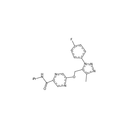 Cc1nnn(-c2ccc(F)cc2)c1COc1cnc(C(=O)NC(C)C)cn1